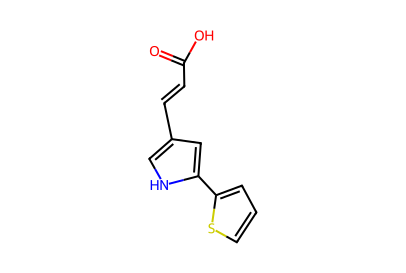 O=C(O)C=Cc1c[nH]c(-c2cccs2)c1